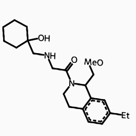 CCc1ccc2c(c1)C(COC)N(C(=O)CNCC1(O)CCCCC1)CC2